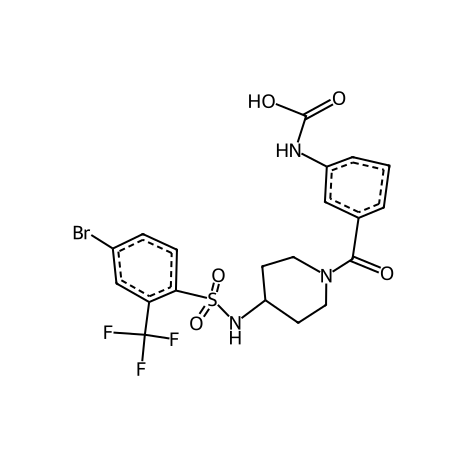 O=C(O)Nc1cccc(C(=O)N2CCC(NS(=O)(=O)c3ccc(Br)cc3C(F)(F)F)CC2)c1